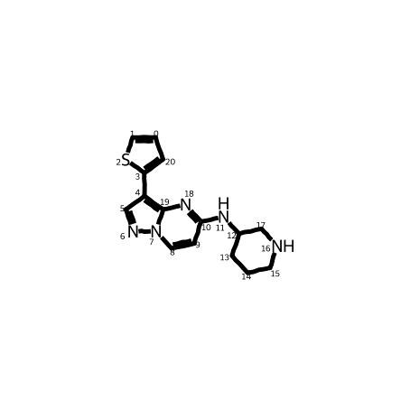 c1csc(-c2cnn3ccc(NC4CCCNC4)nc23)c1